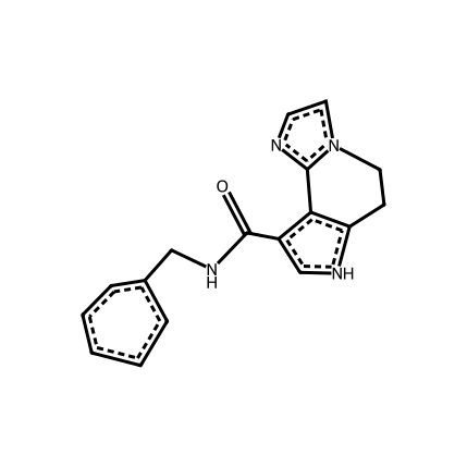 O=C(NCc1ccccc1)c1c[nH]c2c1-c1nccn1CC2